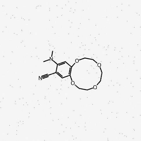 CN(C)c1cc2c(cc1C#N)OCCOCCOCCO2